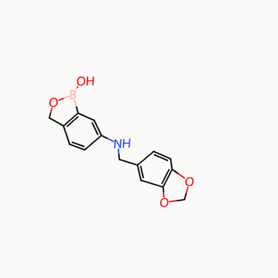 OB1OCc2ccc(NCc3ccc4c(c3)OCO4)cc21